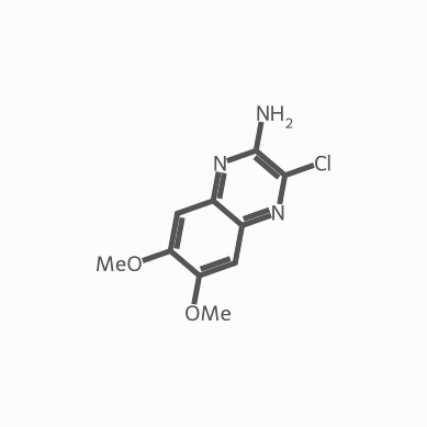 COc1cc2nc(N)c(Cl)nc2cc1OC